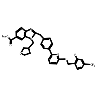 COC(=O)c1ccc2nc(Cc3ccc(-c4cccc(OCc5ccc(C(F)(F)F)cc5F)n4)cc3)n(CC3CCOC3)c2c1